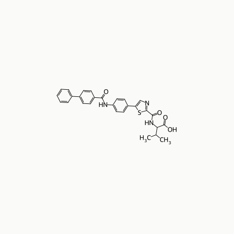 CC(C)C(NC(=O)c1ncc(-c2ccc(NC(=O)c3ccc(-c4ccccc4)cc3)cc2)s1)C(=O)O